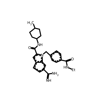 CCNC(=O)c1ccc(Cn2c(C(=O)NC3CCC(C)CC3)cc3ccc(C(=N)N)cc32)cc1